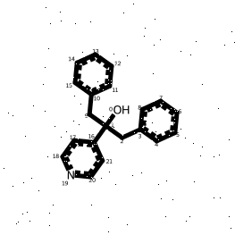 OC(Cc1ccccc1)(Cc1ccccc1)c1ccncc1